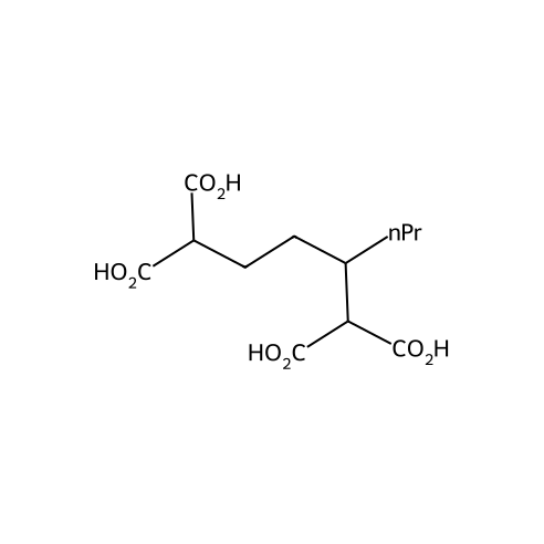 CCCC(CCC(C(=O)O)C(=O)O)C(C(=O)O)C(=O)O